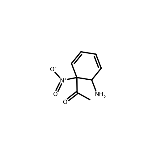 CC(=O)C1([N+](=O)[O-])C=CC=CC1N